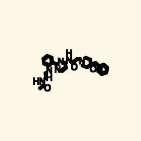 CC(=O)NCCNc1ccccc1-c1nccc(NC(=O)CN2CCC(O)(Cc3ccccc3)CC2)n1